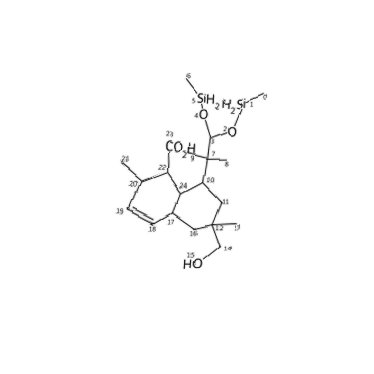 C[SiH2]OC(O[SiH2]C)C(C)(C)C1CC(C)(CO)CC2C=CC(C)C(C(=O)O)C21